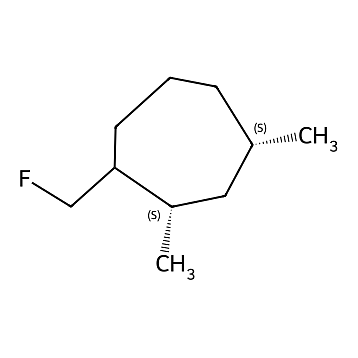 C[C@H]1CCCC(CF)[C@@H](C)C1